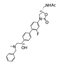 CC(=O)NC[C@H]1CN(c2ccc(-c3ccc([C@H](O)CN(C)Cc4ccccc4)cc3)c(F)c2)C(=O)O1